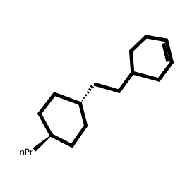 CCC[C@H]1CC[C@H](CCC2CC=CCC2)CC1